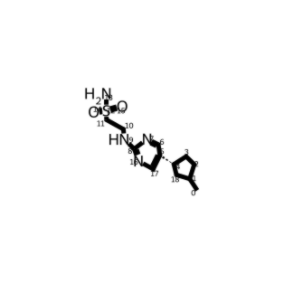 CC1CC[C@@H](c2cnc(NCCS(N)(=O)=O)nc2)C1